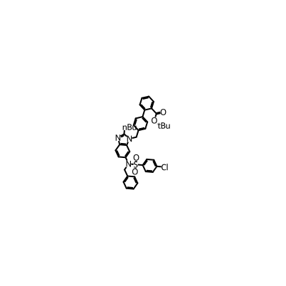 CCCCc1nc2ccc(N(Cc3ccccc3)S(=O)(=O)c3ccc(Cl)cc3)cc2n1Cc1ccc(-c2ccccc2C(=O)OC(C)(C)C)cc1